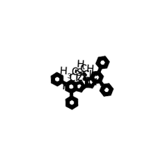 CCC1=Cc2c(-c3ccccc3)cc(-c3ccccc3)cc2[CH]1[Zr]([Cl])([Cl])([CH]1C(CC)=Cc2c(-c3ccccc3)cc(-c3ccccc3)cc21)[SiH](C)C